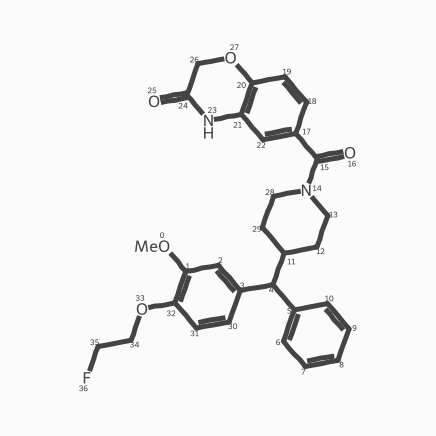 COc1cc(C(c2ccccc2)C2CCN(C(=O)c3ccc4c(c3)NC(=O)CO4)CC2)ccc1OCCF